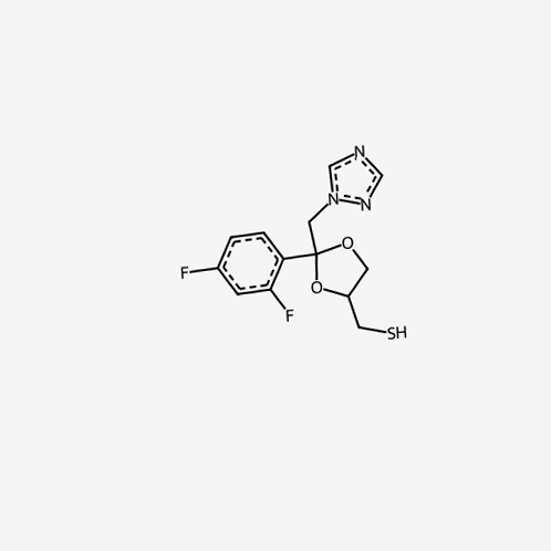 Fc1ccc(C2(Cn3cncn3)OCC(CS)O2)c(F)c1